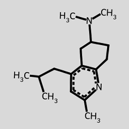 Cc1cc(CC(C)C)c2c(n1)CCC(N(C)C)C2